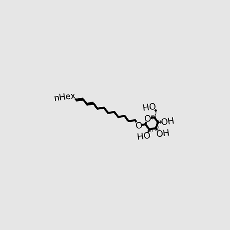 CCCCCCC=CC=CCCCCCCCCOC1O[C@H](CO)[C@@H](O)[C@H](O)[C@H]1O